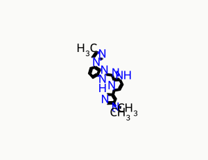 Cc1cn(-c2cccc3[nH]c(-c4n[nH]c5ccc(-c6cncc(N(C)C)c6)nc45)nc23)cn1